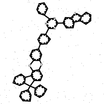 c1ccc(-c2nc(-c3ccc(-c4ccc5c(c4)Oc4ccc6c(c4O5)-c4ccccc4C6(c4ccccc4)c4ccccc4)cc3)nc(-c3ccc4c(c3)sc3ccccc34)n2)cc1